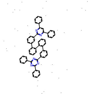 c1ccc(-c2cc(-c3ccccc3)nc(-c3cccc(-c4ccccc4-c4ccccc4-c4cccc(-c5nc(-c6ccccc6)nc(-c6ccccc6)n5)c4)c3)n2)cc1